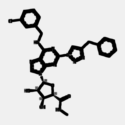 CNC(=O)[C@H]1O[C@@H](n2cnc3c(NCc4cccc(Cl)c4)nc(-n4cc(Cc5ccccc5)nn4)nc32)[C@H](O)[C@@H]1O